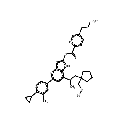 CCOCC1(CN(C)c2cc(-c3cnc(C4CC4)c(C(F)(F)F)c3)nc3nc(NC(=O)c4ccc(CCC(=O)OCC)cn4)[nH]c23)CCCC1